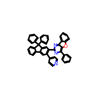 c1ccc(-c2nc(-c3cc4c(cc3-c3ccncc3)-c3ccccc3C4(c3ccccc3)c3ccccc3)nc3c2oc2ccccc23)cc1